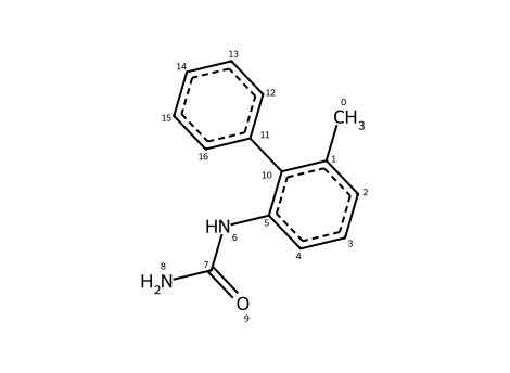 Cc1cccc(NC(N)=O)c1-c1ccccc1